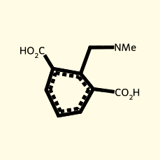 CNCc1c(C(=O)O)cccc1C(=O)O